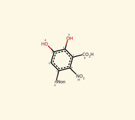 CCCCCCCCCc1cc(O)c(O)c(C(=O)O)c1[N+](=O)[O-]